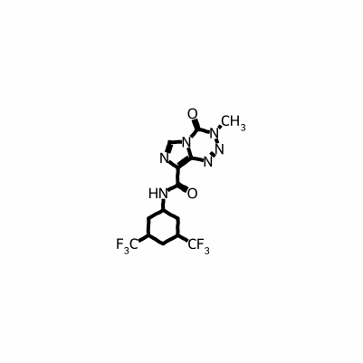 Cn1nnc2c(C(=O)NC3CC(C(F)(F)F)CC(C(F)(F)F)C3)ncn2c1=O